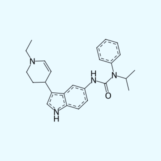 CCN1C=CC(c2c[nH]c3ccc(NC(=O)N(c4ccccc4)C(C)C)cc23)CC1